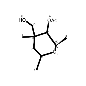 CC(=O)OC1[C@@H](C)OC(C)CC1(C)CO